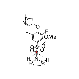 COCCOC(=O)N1[C@@H]2CC[C@H]1CN(S(=O)(=O)c1cc(F)c(Oc3cnn(C)c3)c(F)c1)C2